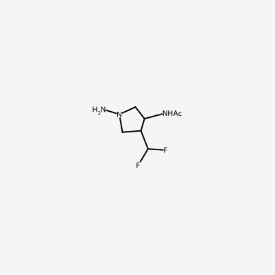 CC(=O)NC1CN(N)CC1C(F)F